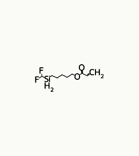 C=CC(=O)OCCCCC[SiH2]C(F)F